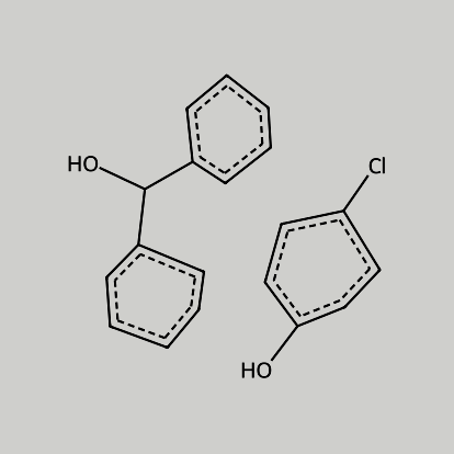 OC(c1ccccc1)c1ccccc1.Oc1ccc(Cl)cc1